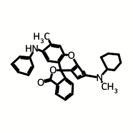 Cc1cc2c(cc1Nc1ccccc1)C1(OC(=O)c3ccccc31)c1ccc(N(C)C3CCCCC3)cc1O2